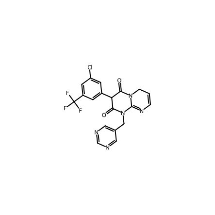 O=C1C(c2cc(Cl)cc(C(F)(F)F)c2)C(=O)N(Cc2cncnc2)C2=NC=CCN12